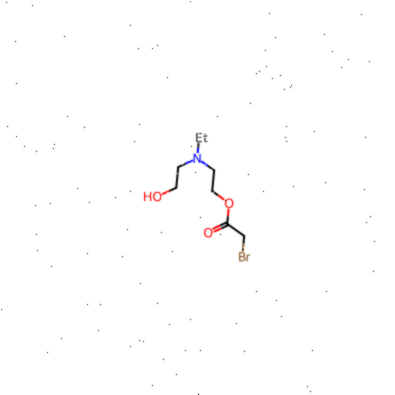 CCN(CCO)CCOC(=O)CBr